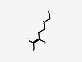 C[CH]SCCC(F)=C(F)F